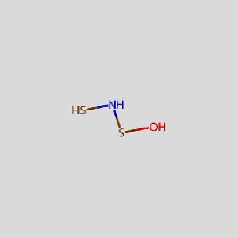 OSNS